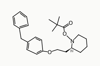 CC(C)(C)C(=O)ON1CCCC[C@H]1CCOc1ccc(Cc2ccccc2)cc1